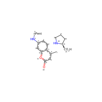 CCCCCNc1ccc2c(C)cc(=O)oc2c1.O=C(O)[C@@H]1CCCN1